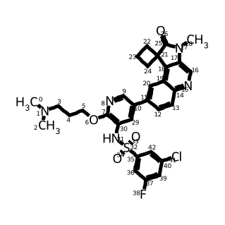 CN(C)CCCOc1ncc(-c2ccc3ncc4c(c3c2)C2(CCC2)C(=O)N4C)cc1NS(=O)(=O)c1cc(F)cc(Cl)c1